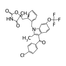 Cc1c(C(=O)c2ccc(Cl)cc2)c2ccc(OC(F)(F)F)cc2n1Cc1ccccc1C[C@]1(C)OC(=O)NC1=O